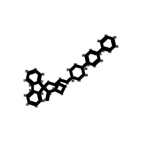 O=C(N1CCC1)C1(CCCCN2CCN(c3ccc(-c4ccccc4)cc3)CC2)c2ccccc2-c2ccccc21